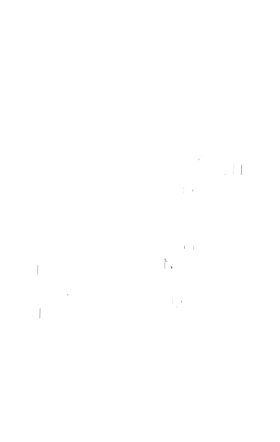 O=[N+]([O-])c1cc(C(F)(F)F)ccc1Oc1ccccc1S(=O)(=O)O